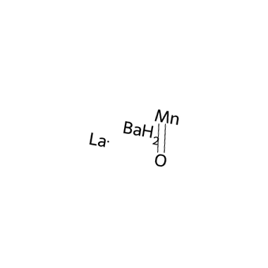 [BaH2].[La].[O]=[Mn]